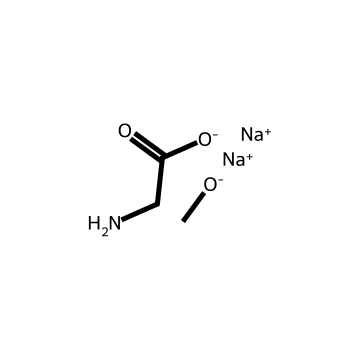 C[O-].NCC(=O)[O-].[Na+].[Na+]